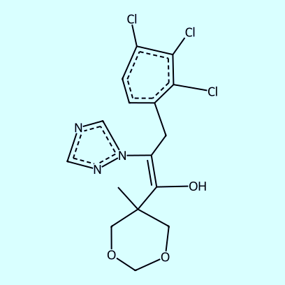 CC1(C(O)=C(Cc2ccc(Cl)c(Cl)c2Cl)n2cncn2)COCOC1